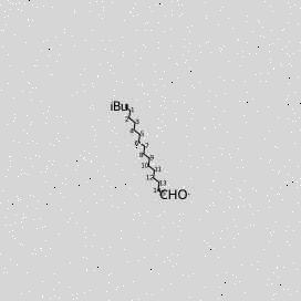 CCC(C)CCCCCCCCCCCCCC[C]=O